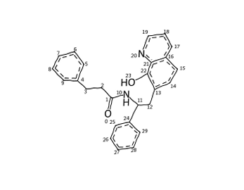 O=C(CCc1ccccc1)NC(Cc1ccc2cccnc2c1O)c1ccccc1